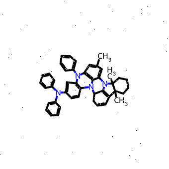 Cc1cc2c3c(c1)N1C4=C(C=CCC4N3c3ccc(N(c4ccccc4)c4ccccc4)cc3N2c2ccccc2)C2(C)CCCCC12C